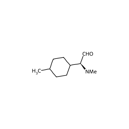 CN[C@H](C=O)C1CCC(C)CC1